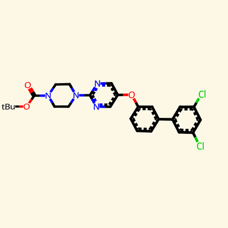 CC(C)(C)OC(=O)N1CCN(c2ncc(Oc3cccc(-c4cc(Cl)cc(Cl)c4)c3)cn2)CC1